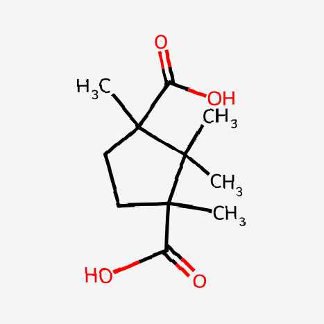 CC1(C(=O)O)CCC(C)(C(=O)O)C1(C)C